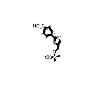 CC(C)(C)[Si](C)(C)OCc1csc(-c2ccc(C(=O)O)cc2)n1